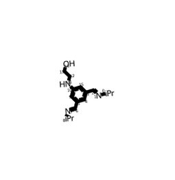 CC(C)/N=C/c1cc(/C=N/C(C)C)cc(NCCO)c1